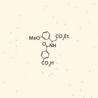 CCOC(=O)CC(NC(=O)c1ccc(C(=O)O)cc1)c1cccc(OC)c1